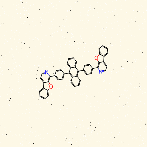 c1ccc2c(c1)oc1c(-c3ccc(-c4c5ccccc5c(-c5ccc(-c6nccc7c6oc6ccccc67)cc5)c5ccccc45)cc3)nccc12